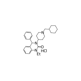 CCN1C(=O)N(C2CCN(CC3CCCCC3)CC2)C(c2ccccc2)c2ccccc21.Cl